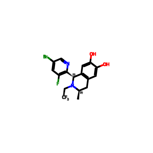 C[C@@H]1Cc2cc(O)c(O)cc2[C@@H](c2ncc(Br)cc2F)N1CC(F)(F)F